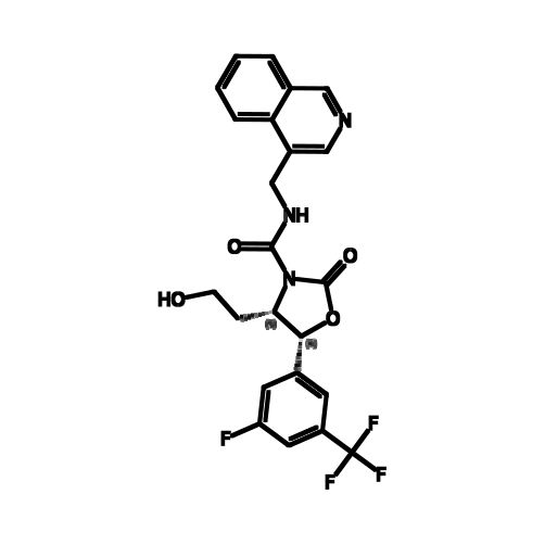 O=C(NCc1cncc2ccccc12)N1C(=O)O[C@H](c2cc(F)cc(C(F)(F)F)c2)[C@@H]1CCO